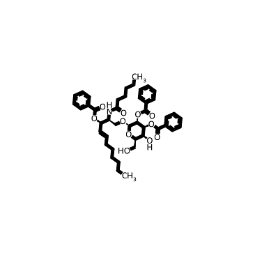 CCCCCC/C=C/[C@@H](OC(=O)c1ccccc1)[C@H](CO[C@H]1O[C@H](CO)[C@H](O)[C@H](OC(=O)c2ccccc2)[C@H]1OC(=O)c1ccccc1)NC(=O)CCCCC